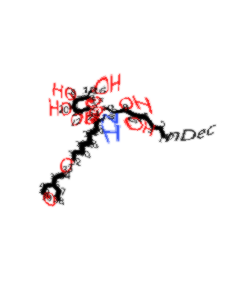 CCCCCCCCCCCCCC[C@@H](O)[C@@H](O)[C@H](CO[C@H]1O[C@H](CO)[C@H](O)[C@H](O)[C@H]1O)NC(=O)CCCCCCCOCCC1CCOCC1